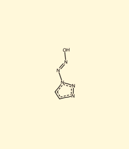 O/N=N/n1ccnn1